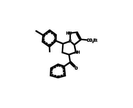 CCOC(=O)C1=CNN2C1NC(C(=O)c1ccccc1)CC2c1ccc(C)cc1C